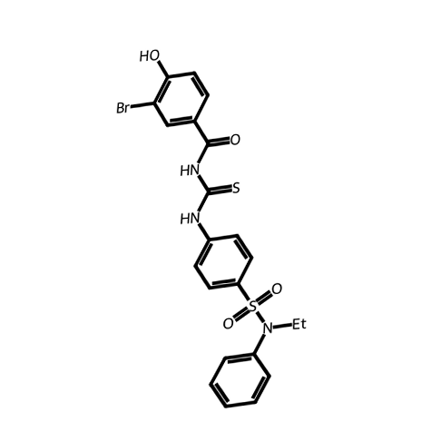 CCN(c1ccccc1)S(=O)(=O)c1ccc(NC(=S)NC(=O)c2ccc(O)c(Br)c2)cc1